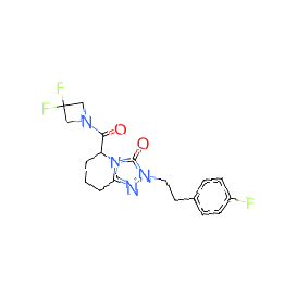 O=C(C1CCCc2nn(CCc3ccc(F)cc3)c(=O)n21)N1CC(F)(F)C1